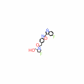 Cn1cc(-c2nc3ccc(CC(=O)N4C[C@@H](F)C[C@H]4CO)cc3o2)c2cc(F)ccc21